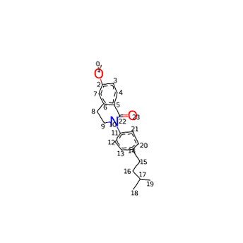 COc1ccc2c(c1)CCN(c1ccc(CCC(C)C)cc1)C2=O